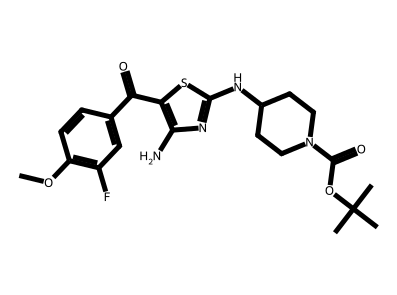 COc1ccc(C(=O)c2sc(NC3CCN(C(=O)OC(C)(C)C)CC3)nc2N)cc1F